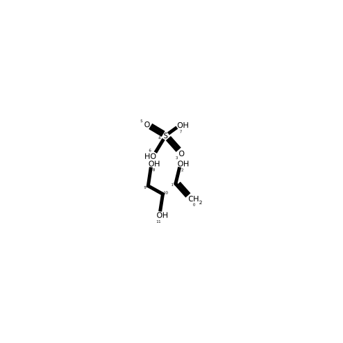 C=CO.O=S(=O)(O)O.OCCO